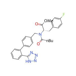 CCCCC(=O)N(Cc1ccc(-c2ccccc2-c2nnn[nH]2)cc1)[C@@H](Cc1ccc(F)cc1)C(=O)OC